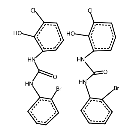 O=C(Nc1ccccc1Br)Nc1cccc(Cl)c1O.O=C(Nc1ccccc1Br)Nc1cccc(Cl)c1O